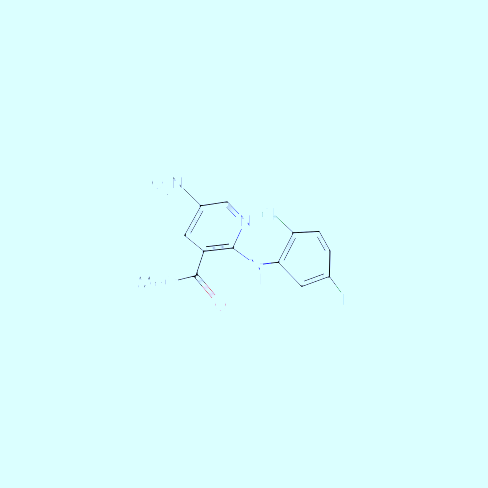 COC(=O)c1cc([N+](=O)[O-])cnc1Nc1cc(F)ccc1Cl